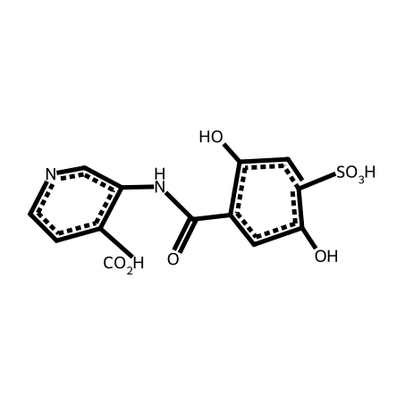 O=C(Nc1cnccc1C(=O)O)c1cc(O)c(S(=O)(=O)O)cc1O